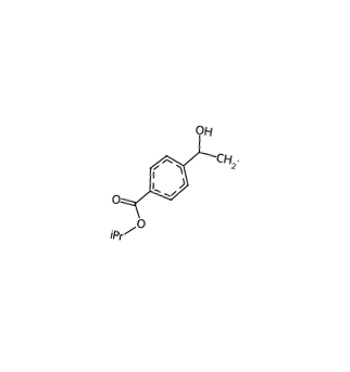 [CH2]C(O)c1ccc(C(=O)OC(C)C)cc1